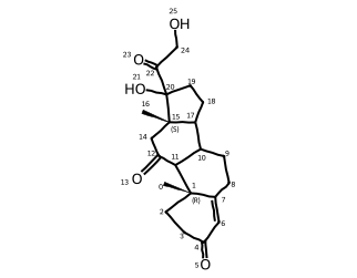 C[C@]12CCC(=O)C=C1CCC1C2C(=O)C[C@@]2(C)C1CCC2(O)C(=O)CO